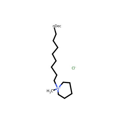 CCCCCCCCCCCCCCCCCC[N+]1(C)CCCCC1.[Cl-]